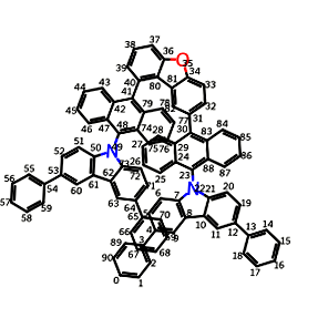 c1ccc(-c2ccc3c(c2)c2cc(-c4ccccc4)ccc2n3-c2c3ccccc3c(-c3ccc4oc5cccc(-c6c7ccccc7c(-n7c8ccc(-c9ccccc9)cc8c8cc(-c9ccccc9)ccc87)c7ccccc67)c5c4c3)c3ccccc23)cc1